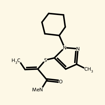 C/C=C(\Sc1cc(C)nn1C1CCCCC1)C(=O)NC